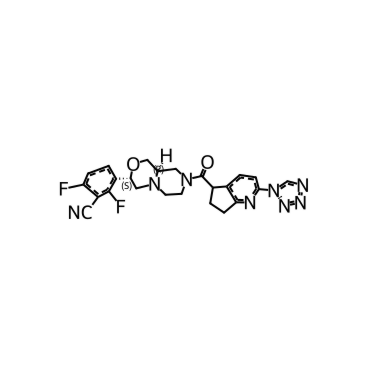 N#Cc1c(F)ccc([C@H]2CN3CCN(C(=O)C4CCc5nc(-n6cnnn6)ccc54)C[C@@H]3CO2)c1F